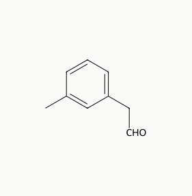 Cc1cccc(CC=O)c1